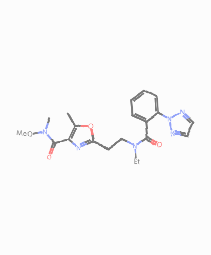 CCN(CCc1nc(C(=O)N(C)OC)c(C)o1)C(=O)c1ccccc1-n1nccn1